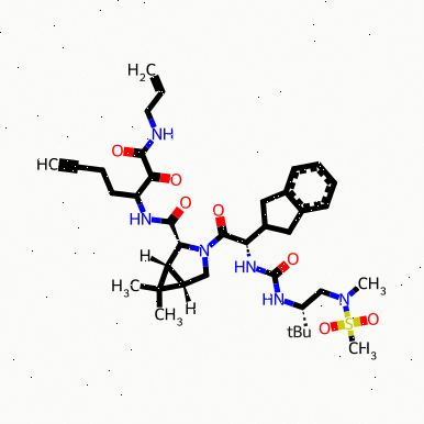 C#CCCC(NC(=O)[C@@H]1[C@@H]2[C@H](CN1C(=O)[C@@H](NC(=O)N[C@H](CN(C)S(C)(=O)=O)C(C)(C)C)C1Cc3ccccc3C1)C2(C)C)C(=O)C(=O)NCC=C